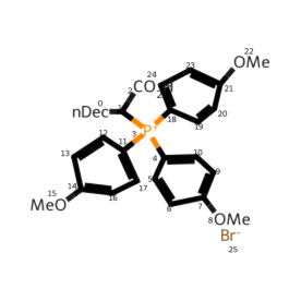 CCCCCCCCCCC(C(=O)O)[P+](c1ccc(OC)cc1)(c1ccc(OC)cc1)c1ccc(OC)cc1.[Br-]